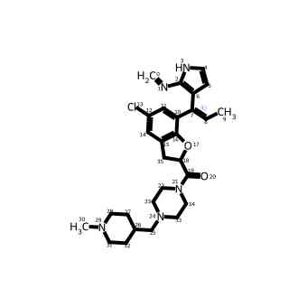 C=Nc1[nH]ccc1/C(=C\C)c1cc(Cl)cc2c1OC(C(=O)N1CCN(CC3CCN(C)CC3)CC1)C2